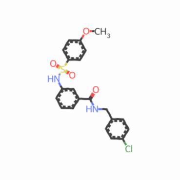 COc1ccc(S(=O)(=O)Nc2cccc(C(=O)NCc3ccc(Cl)cc3)c2)cc1